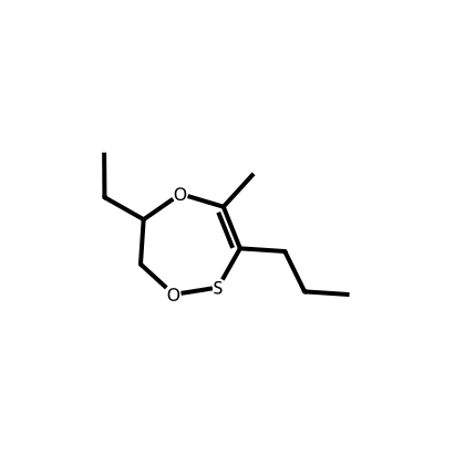 CCCC1=C(C)OC(CC)COS1